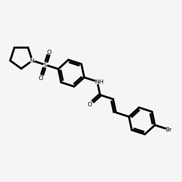 O=C(/C=C/c1ccc(Br)cc1)Nc1ccc(S(=O)(=O)N2CCCC2)cc1